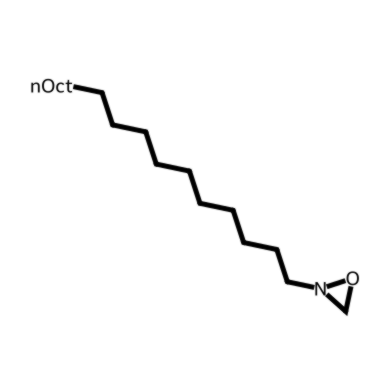 CCCCCCCCCCCCCCCCCCN1CO1